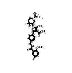 COc1ccc(F)cc1C(=O)NCc1ccc(-c2nn(C3CN(C(C)C)CCC3(F)F)c(N)c2C(N)=O)cc1